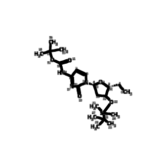 CC[C@H]1O[C@@H](n2ccc(NC(=O)OC(C)(C)C)nc2=O)CC1O[Si](C)(C)C(C)(C)C